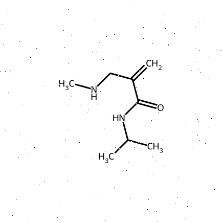 C=C(CNC)C(=O)NC(C)C